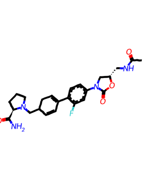 CC(=O)NC[C@H]1CN(c2ccc(C3=CCC(CN4CCC[C@@H]4C(N)=O)C=C3)c(F)c2)C(=O)O1